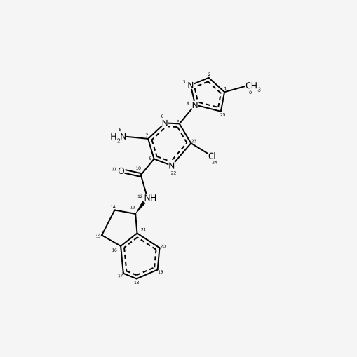 Cc1cnn(-c2nc(N)c(C(=O)N[C@@H]3CCc4ccccc43)nc2Cl)c1